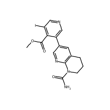 COC(=O)c1c(I)cncc1-c1cnc2c(c1)CCCN2C(N)=O